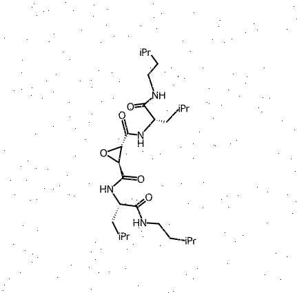 CC(C)CCNC(=O)[C@H](CC(C)C)NC(=O)[C@H]1O[C@@H]1C(=O)N[C@@H](CC(C)C)C(=O)NCCC(C)C